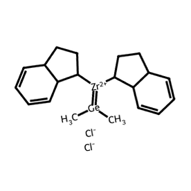 [CH3][Ge]([CH3])=[Zr+2]([CH]1CCC2C=CC=CC21)[CH]1CCC2C=CC=CC21.[Cl-].[Cl-]